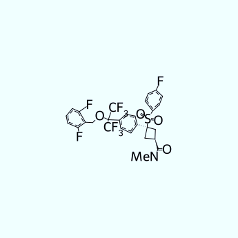 CNC(=O)[C@H]1C[C@@](c2ccc(C(OCc3c(F)cccc3F)(C(F)(F)F)C(F)(F)F)cc2)(S(=O)(=O)c2ccc(F)cc2)C1